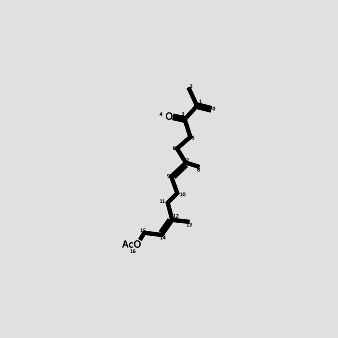 C=C(C)C(=O)CC/C(C)=C/CC/C(C)=C\COC(C)=O